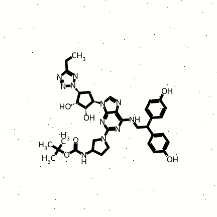 CCc1nnn([C@H]2C[C@@H](n3cnc4c(NCC(c5ccc(O)cc5)c5ccc(O)cc5)nc(N5CCC(NC(=O)OC(C)(C)C)C5)nc43)[C@H](O)[C@@H]2O)n1